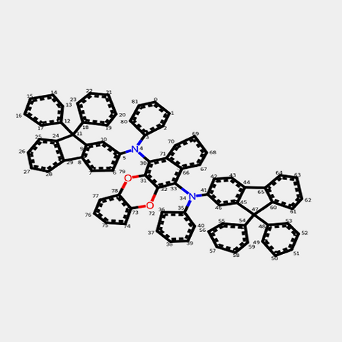 c1ccc(N(c2ccc3c(c2)C(c2ccccc2)(c2ccccc2)c2ccccc2-3)c2c3c(c(N(c4ccccc4)c4ccc5c(c4)C(c4ccccc4)(c4ccccc4)c4ccccc4-5)c4ccccc24)Oc2ccccc2O3)cc1